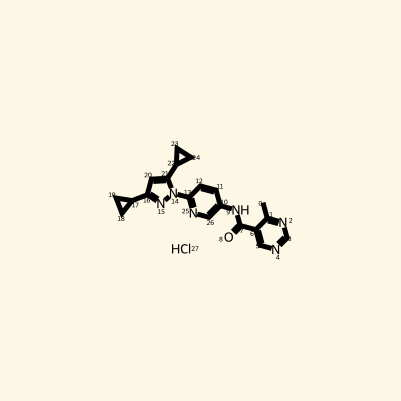 Cc1ncncc1C(=O)Nc1ccc(-n2nc(C3CC3)cc2C2CC2)nc1.Cl